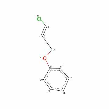 ClC=CCOc1ccccc1